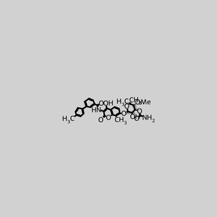 CO[C@@H]1[C@@H](OC(N)=O)[C@@H](O)[C@H](Oc2ccc3c(O)c(NC(=O)c4cccc(-c5ccc(C)cc5)c4)c(=O)oc3c2C)OC1(C)C